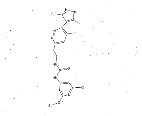 CCOc1cc(NC(=O)NCCc2cc(C)c(-c3c(C(F)(F)F)n[nH]c3C)nn2)cc(Cl)n1